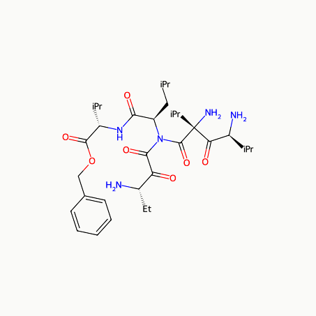 CC[C@H](N)C(=O)C(=O)N(C(=O)[C@](N)(C(=O)[C@@H](N)C(C)C)C(C)C)[C@H](CC(C)C)C(=O)N[C@H](C(=O)OCc1ccccc1)C(C)C